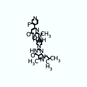 CC1=NN(CC(C)C)C2N=C(N3C[C@@H]4[C@H](C3)[C@H]4N(C)c3nc(-c4ccncc4F)cc(=O)n3C)NC(=O)C12